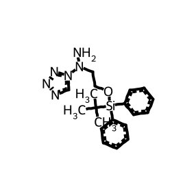 CC(C)(C)[Si](OCCN(N)n1cnnn1)(c1ccccc1)c1ccccc1